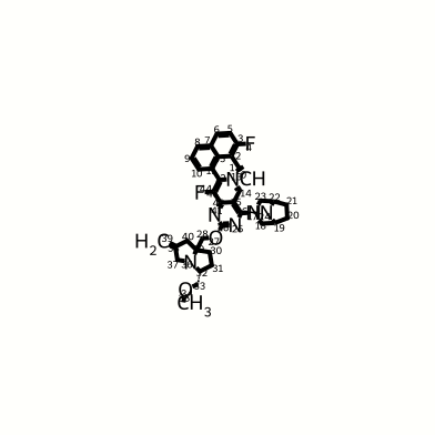 C#Cc1c(F)ccc2cccc(-c3ncc4c(N5CC6CCC(C5)N6)nc(OCC56CC[C@H](COC)N5CC(=C)C6)nc4c3F)c12